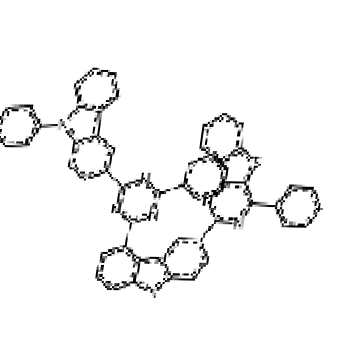 c1ccc(-c2nc(-c3ccc4c(c3)c3ccccc3n4-c3ccccc3)nc(-c3cccc4sc5ccc(-c6nc(-c7ccccc7)c7sc8ccccc8c7n6)cc5c34)n2)cc1